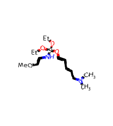 CCO[Si](NCCOC)(OCC)OCCCCCN(C)C